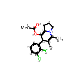 COC(=O)OC1=C2CCCN2C(C)=C(C(C)=O)C1c1cccc(Cl)c1Cl